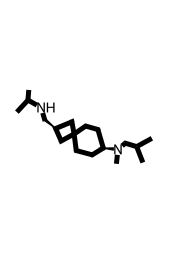 CC(C)CN(C)[C@H]1CCC2(CC1)C[C@H](CNC(C)C)C2